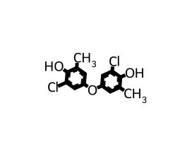 Cc1cc(Oc2cc(C)c(O)c(Cl)c2)cc(Cl)c1O